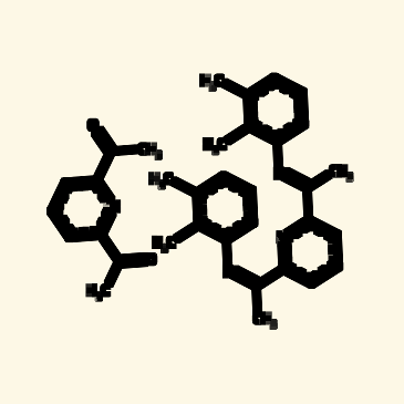 CC(=Nc1cccc(C)c1C)c1cccc(C(C)=Nc2cccc(C)c2C)n1.CC(=O)c1cccc(C(C)=O)n1